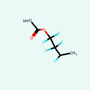 COC(=O)OC(F)(F)C(F)(F)C(C)F